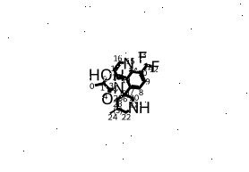 CC(O)C(=O)N[C@]1(c2ccc(C(F)F)c3ncccc23)CNC[C@@H](C)C1